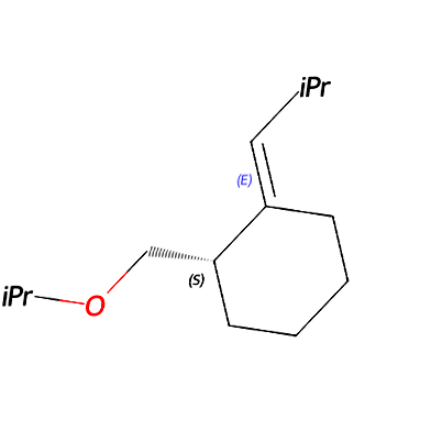 CC(C)/C=C1\CCCC[C@@H]1COC(C)C